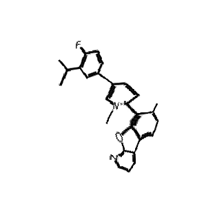 Cc1ccc2c(oc3ncccc32)c1-c1ccc(-c2ccc(F)c(C(C)C)c2)c[n+]1C